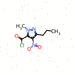 CCCc1nn(C)c(C(=O)Cl)c1[N+](=O)[O-]